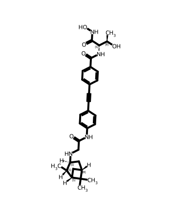 C[C@@H]1[C@@H](NCC(=O)Nc2ccc(C#Cc3ccc(C(=O)N[C@H](C(=O)NO)[C@@H](C)O)cc3)cc2)C[C@H]2C[C@@H]1C2(C)C